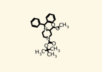 COC(=O)C1CN(C(=O)OC(C)(C)C)CCN1C(c1ccccc1)c1ccccc1